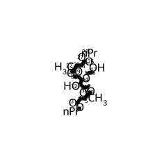 CCCOC(=O)CCC1(C)OCC(C(O)C(OCCO)C2COC(C)(CCC(=O)OCCC)O2)O1